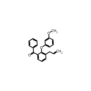 C=CCc1cccc(C(=O)c2ccccc2)c1Oc1cccc(OC)c1